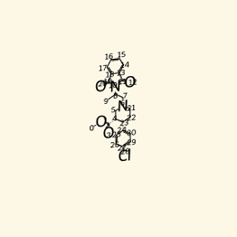 COC(=O)[C@@H]1CN(CC(C)N2C(=O)c3ccccc3C2=O)CC[C@@H]1c1ccc(Cl)cc1